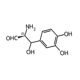 N[C@H](C=O)C(O)c1ccc(O)c(O)c1